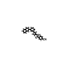 N#Cc1ccc(C(=O)N[C@@H]2CCN(c3nccc(-c4ccc5ccccc5c4)n3)C2)cc1